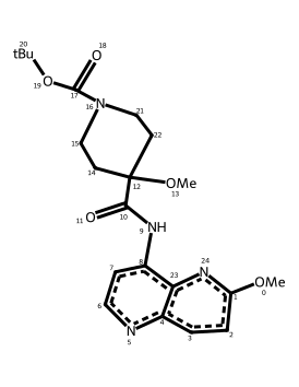 COc1ccc2nccc(NC(=O)C3(OC)CCN(C(=O)OC(C)(C)C)CC3)c2n1